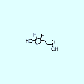 O=C(O)CCc1ccc(O)c(F)c1F